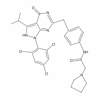 CC(C)c1[nH]n(-c2c(Cl)cc(Cl)cc2Cl)c2nc(Cc3ccc(NC(=O)CN4CCCC4)cc3)nc(=O)c1-2